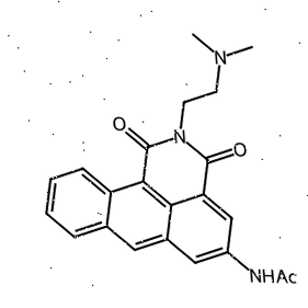 CC(=O)Nc1cc2c3c(c4ccccc4cc3c1)C(=O)N(CCN(C)C)C2=O